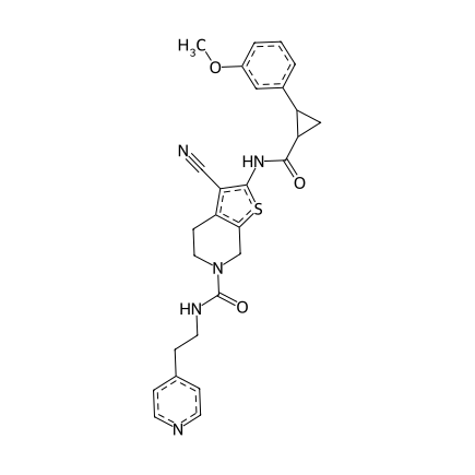 COc1cccc(C2CC2C(=O)Nc2sc3c(c2C#N)CCN(C(=O)NCCc2ccncc2)C3)c1